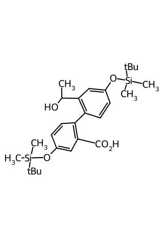 CC(O)c1cc(O[Si](C)(C)C(C)(C)C)ccc1-c1ccc(O[Si](C)(C)C(C)(C)C)cc1C(=O)O